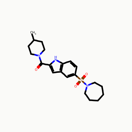 CC1CCN(C(=O)c2cc3cc(S(=O)(=O)N4CCCCCC4)ccc3[nH]2)CC1